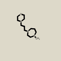 CN1CCCN(CCCN2CCOCC2)CC1